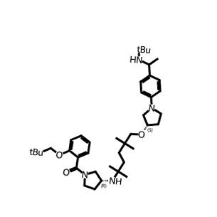 CC(NC(C)(C)C)c1ccc(N2CC[C@H](OCC(C)(C)CCC(C)(C)N[C@@H]3CCN(C(=O)c4ccccc4OCC(C)(C)C)C3)C2)cc1